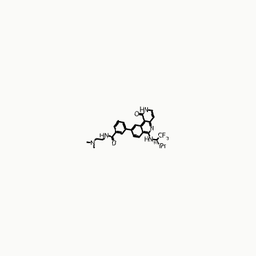 CC(C)[C@@H](Nc1nc2cc[nH]c(=O)c2c2cc(-c3cccc(C(=O)NCCN(C)C)c3)ccc12)C(F)(F)F